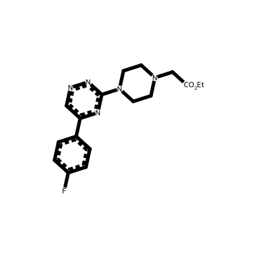 CCOC(=O)CN1CCN(c2nncc(-c3ccc(F)cc3)n2)CC1